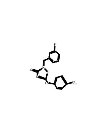 O=c1nc(Nc2ccc(C(F)(F)F)cc2)sn1Cc1cccc(F)c1